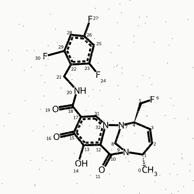 C[C@H]1C=C[C@H](CF)N2CN1C(=O)c1c(O)c(=O)c(C(=O)NCc3c(F)cc(F)cc3F)cn12